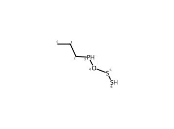 CCCPOSS